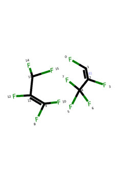 F/C=C(/F)C(F)(F)F.FC(F)=C(F)C(F)F